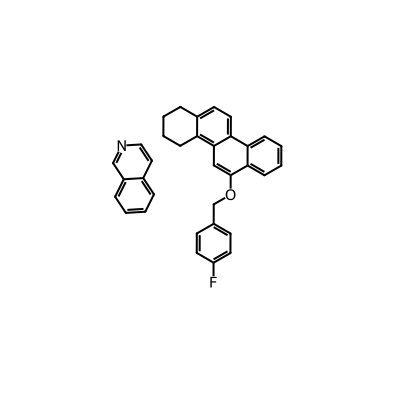 Fc1ccc(COc2cc3c4c(ccc3c3ccccc23)CCCC4)cc1.c1ccc2cnccc2c1